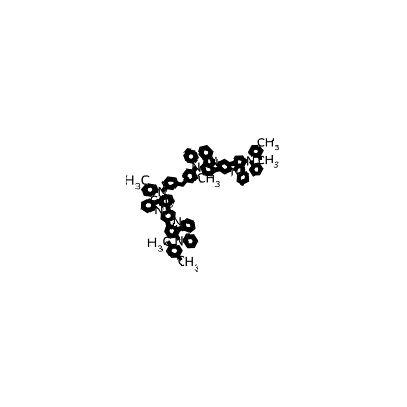 Cc1ccc(N(c2ccccc2)c2ccc3c4cc5c(cc4n4c6ccccc6c2c34)c2ccc(N(c3ccccc3)c3ccc(Cc4cccc(N(c6cc(C)ccc6C)c6ccc7c8cc9c(cc8n8c%10ccccc%10c6c78)c6ccc(N(c7ccccc7)c7cc(C)ccc7C)c7c8ccccc8n9c67)c4)cc3C)c3c4ccccc4n5c23)c(C)c1